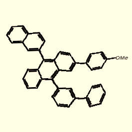 COc1ccc(-c2ccc3c(-c4ccc5ccccc5c4)c4ccccc4c(-c4cccc(-c5ccccc5)c4)c3c2)cc1